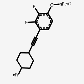 CCCCCOc1ccc(C#CC2CCC(CCC)CC2)c(F)c1F